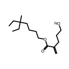 C=C([CH]CCO)C(=O)OCCCCC(C)(CC)CC